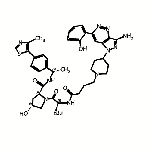 Cc1ncsc1-c1ccc([C@H](C)NC(=O)[C@@H]2C[C@@H](O)CN2C(=O)[C@@H](NC(=O)CCCN2CCC(n3nc(N)c4nnc(-c5ccccc5O)cc43)CC2)C(C)(C)C)cc1